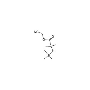 CC(C)(O[Si](C)(C)C)C(=O)OCC#N